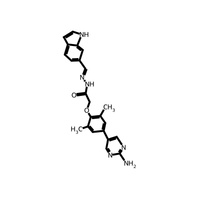 Cc1cc(-c2cnc(N)nc2)cc(C)c1OCC(=O)NN=Cc1ccc2cc[nH]c2c1